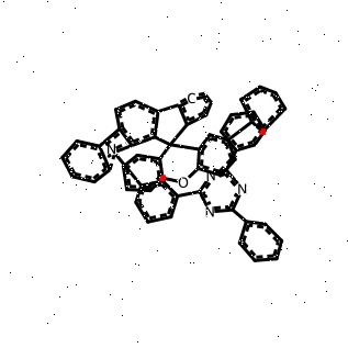 c1ccc(-c2ccc3c(c2)C2(c4ccccc4O3)c3ccccc3-c3ccc4c5ccccc5n(-c5cccc(-c6nc(-c7ccccc7)nc(-c7ccccc7)n6)c5)c4c32)cc1